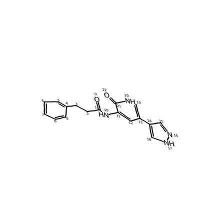 O=C(CCc1ccccc1)Nc1cc(-c2cn[nH]c2)c[nH]c1=O